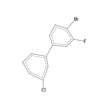 Fc1cc(-c2cccc(Cl)c2)ccc1Br